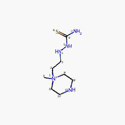 C[N+]1(CCNNC(N)=S)CCNCC1